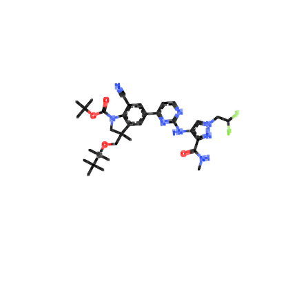 CNC(=O)c1nn(CC(F)F)cc1Nc1nccc(-c2cc(C#N)c3c(c2)C(C)(CO[Si](C)(C)C(C)(C)C)CN3C(=O)OC(C)(C)C)n1